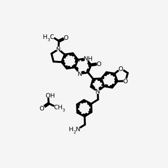 CC(=O)N1CCc2cc3nc(-c4cn(Cc5cccc(CN)c5)c5cc6c(cc45)OCO6)c(=O)[nH]c3cc21.CC(=O)O